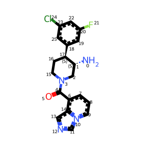 N[C@@H]1CN(C(=O)c2cccn3cncc23)CC[C@H]1c1cc(F)cc(Cl)c1